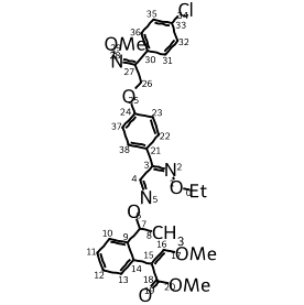 CCON=C(C=NOC(C)c1ccccc1C(=COC)C(=O)OC)c1ccc(OCC(=NOC)c2ccc(Cl)cc2)cc1